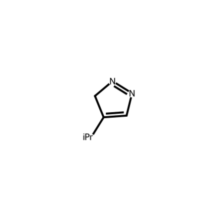 CC(C)C1=CN=NC1